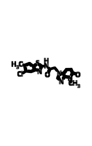 Cc1cc2sc(NC(=O)Cn3cnc4c3ccc(=O)n4C)nc2cc1Cl